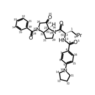 CC(C)C[C@H](NC(=O)c1ccc(N2CCCC2)cc1)C(=O)N1CCC2[C@H]1C(=O)CN2C(=O)c1ccccc1